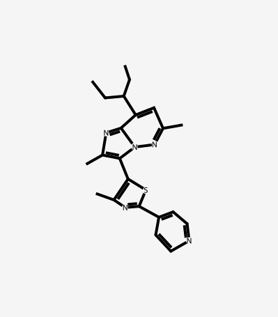 CCC(CC)c1cc(C)nn2c(-c3sc(-c4ccncc4)nc3C)c(C)nc12